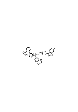 O=c1[nH]c2ccc(C(NCCN3CCC(c4n[nH]c5cc(I)ccc45)CC3)c3ccc4c(c3)OCCO4)cc2c2ccccc12